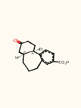 CC[C@@]12CCC(=O)C[C@@H]1CCCc1cc(C(=O)O)ccc12